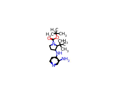 CC(C)(C)OC(=O)N1CCC(Nc2ccncc2N)C1C(C)(C)C